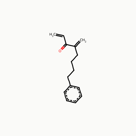 C=CC(=O)C(=C)CCCCc1ccccc1